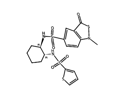 Cn1sc(=O)c2cc(S(=O)(=O)N[C@@H]3CCCC[C@H]3NS(=O)(=O)c3cccs3)ccc21